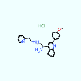 COc1ccc(-c2cc(C(N)CCNCCc3ccccn3)c3ccccc3n2)cc1.Cl